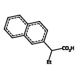 CCC(C(=O)O)c1ccc2ccccc2c1